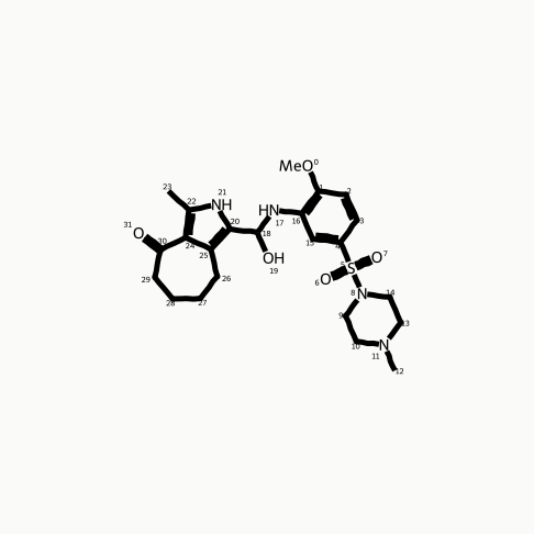 COc1ccc(S(=O)(=O)N2CCN(C)CC2)cc1NC(O)c1[nH]c(C)c2c1CCCCC2=O